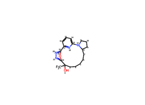 OC1(C(F)(F)F)CCCCCC2CCCN2c2cccc(n2)-c2nnc1o2